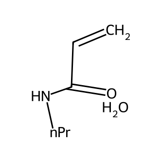 C=CC(=O)NCCC.O